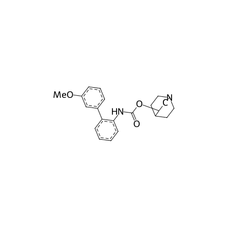 COc1cccc(-c2ccccc2NC(=O)OC2CN3CCC2CC3)c1